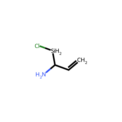 C=CC(N)[SiH2]Cl